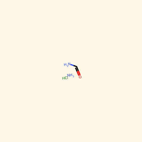 Cl.N.NC=O